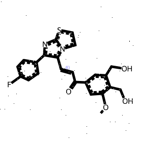 COc1cc(C(=O)/C=C/c2c(-c3ccc(F)cc3)nc3sccn23)cc(CO)c1CO